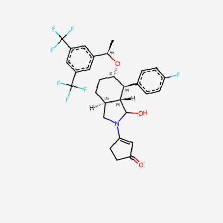 C[C@@H](O[C@H]1CC[C@@H]2CN(C3=CC(=O)CC3)C(O)[C@H]2[C@@H]1c1ccc(F)cc1)c1cc(C(F)(F)F)cc(C(F)(F)F)c1